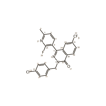 Cc1ccc(-c2nn(Cc3ccc(Cl)cc3)c(=O)c3ccc(C(F)(F)F)cc23)c(F)n1